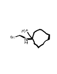 O=CCNC1(P)CCCCCCC1